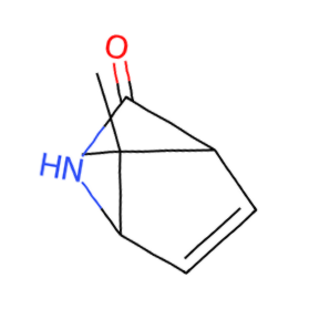 CC1(C)C2C=CC1C(=O)N2